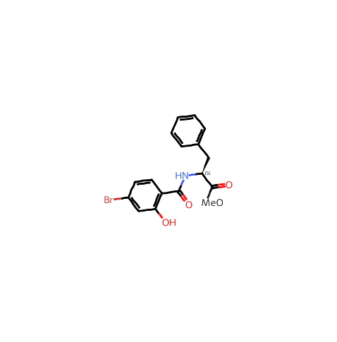 COC(=O)[C@H](Cc1ccccc1)NC(=O)c1ccc(Br)cc1O